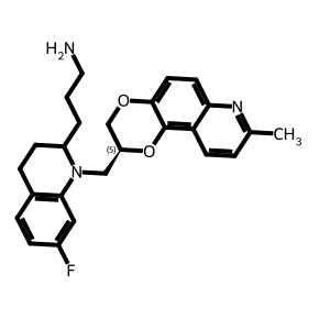 Cc1ccc2c3c(ccc2n1)OC[C@H](CN1c2cc(F)ccc2CCC1CCCN)O3